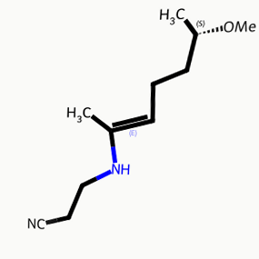 CO[C@@H](C)CC/C=C(\C)NCCC#N